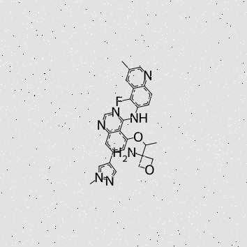 Cc1cnc2ccc(Nc3ncnc4cc(-c5cnn(C)c5)cc(OC(C)C5(N)COC5)c34)c(F)c2c1